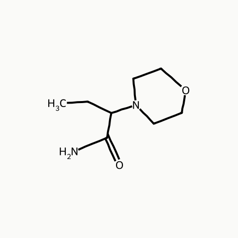 CCC(C(N)=O)N1CCOCC1